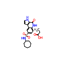 CCC(=O)O.O=c1[nH]c2ccc(S(=O)(=O)NC3CCCCCC3)cc2c2cc[nH]c12